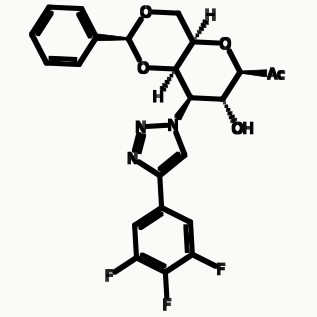 CC(=O)[C@@H]1O[C@@H]2CO[C@H](c3ccccc3)O[C@@H]2[C@H](n2cc(-c3cc(F)c(F)c(F)c3)nn2)[C@H]1O